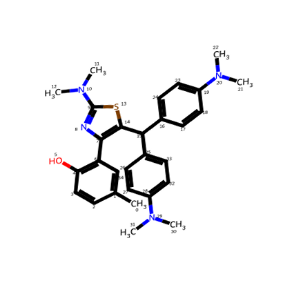 Cc1ccc(O)c(-c2nc(N(C)C)sc2C(c2ccc(N(C)C)cc2)c2ccc(N(C)C)cc2)c1